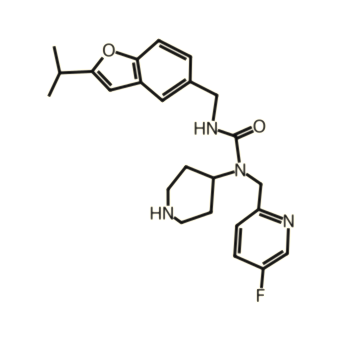 CC(C)c1cc2cc(CNC(=O)N(Cc3ccc(F)cn3)C3CCNCC3)ccc2o1